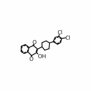 O=C1C(O)=C(C2CCC(c3ccc(Cl)c(Cl)c3)CC2)C(=O)c2ccccc21